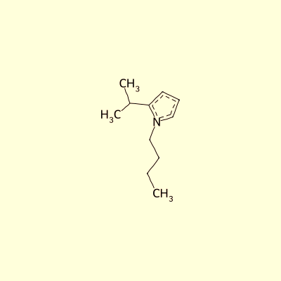 CCCCn1cccc1C(C)C